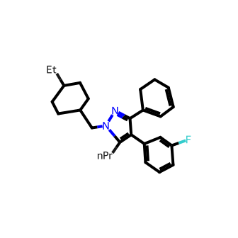 CCCc1c(-c2cccc(F)c2)c(C2=CC=CCC2)nn1CC1CCC(CC)CC1